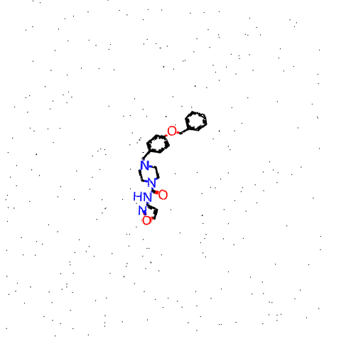 O=C(Nc1ccon1)N1CCN(Cc2ccc(OCc3ccccc3)cc2)CC1